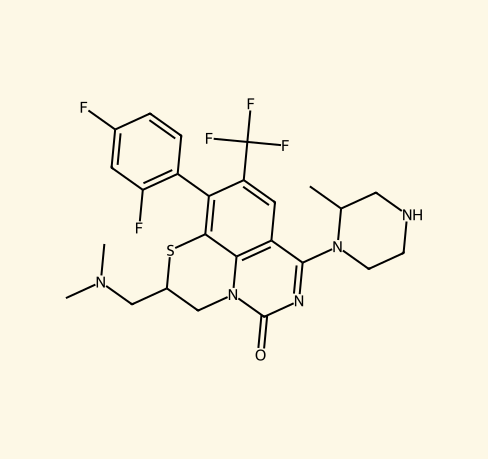 CC1CNCCN1c1nc(=O)n2c3c(c(-c4ccc(F)cc4F)c(C(F)(F)F)cc13)SC(CN(C)C)C2